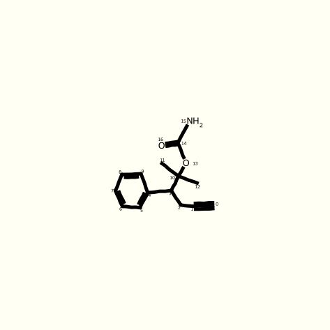 C#CCC(c1ccccc1)C(C)(C)OC(N)=O